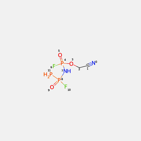 N#CCOP(=O)(F)NP(=O)(F)P